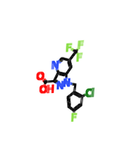 O=C(O)c1nn(Cc2ccc(F)cc2Cl)c2cc(C(F)(F)F)cnc12